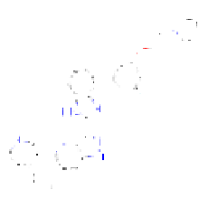 Cc1ccncc1-c1ccc2[nH]nc(-c3nc4c(-c5cc(F)cc(OCCN6CCCC6)c5)cccc4[nH]3)c2n1